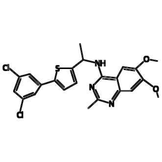 COc1cc2nc(C)nc(NC(C)c3ccc(-c4cc(Cl)cc(Cl)c4)s3)c2cc1OC